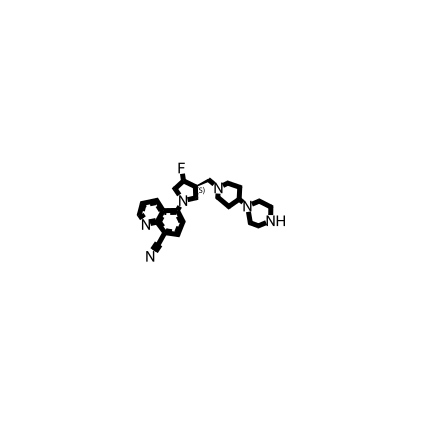 N#Cc1ccc(N2CC(F)[C@@H](CN3CCC(N4CCNCC4)CC3)C2)c2cccnc12